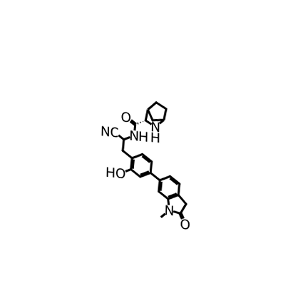 CN1C(=O)Cc2ccc(-c3ccc(CC(C#N)NC(=O)[C@H]4NC5CCC4C5)c(O)c3)cc21